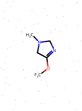 CN1[CH]C(OC(F)(F)F)=NC1